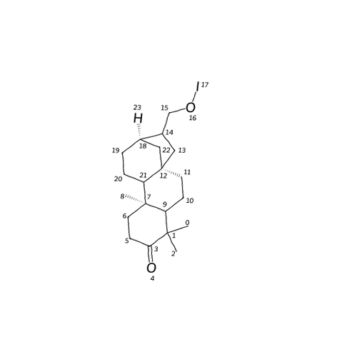 CC1(C)C(=O)CC[C@]2(C)C1CC[C@]13CC(COI)[C@H](CCC12)C3